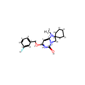 CN1c2cc(OCc3cccc(F)c3)nc(=O)n2CC12CCCCC2